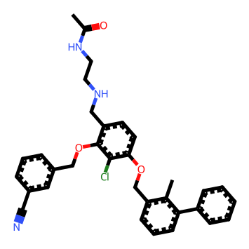 CC(=O)NCCNCc1ccc(OCc2cccc(-c3ccccc3)c2C)c(Cl)c1OCc1cccc(C#N)c1